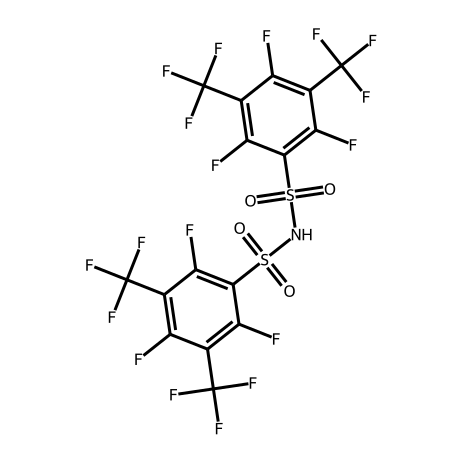 O=S(=O)(NS(=O)(=O)c1c(F)c(C(F)(F)F)c(F)c(C(F)(F)F)c1F)c1c(F)c(C(F)(F)F)c(F)c(C(F)(F)F)c1F